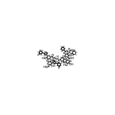 CC1CC(C(=O)NCCNC(=O)C2CC(n3cc(-c4cccc(F)c4)nn3)C(O)[C@H](O[C@@H]3OC(CO)[C@H](O)C(n4cc(-c5cccc(F)c5)nn4)C3O)C2)C[C@@H](O[C@@H]2OC(CO)[C@H](O)C(O[C@@H](CC3CCCCC3)C(=O)O)C2OC(=O)c2ccccc2)C1O[C@@H]1OC(C)[C@@H](O)C(O)C1O